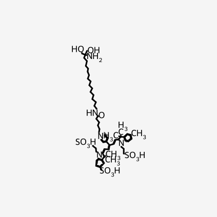 Cc1ccc2c(c1)C(C)(C)C(/C=C/C(=C/C=C1/N(CCCS(=O)(=O)O)c3ccc(S(=O)(=O)O)cc3C1(C)C)c1cc[n+](CCCCCC(=O)NCCCCCCCCCCCCCCCCC(N)(CO)CO)cc1)=[N+]2CCCS(=O)(=O)O